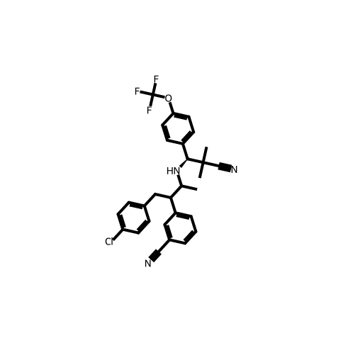 CC(N[C@@H](c1ccc(OC(F)(F)F)cc1)C(C)(C)C#N)C(Cc1ccc(Cl)cc1)c1cccc(C#N)c1